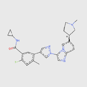 Cc1cc(F)c(C(=O)NC2CC2)cc1-c1cnn(-c2cnc3ccc([C@H]4CCN(C)C4)cn23)c1